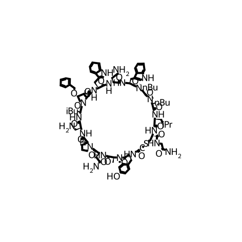 CCCC[C@H]1C(=O)N(C)[C@@H](CCCC)C(=O)N[C@@H](CC(C)C)C(=O)N[C@H](C(=O)NCC(N)=O)CSCC(=O)N[C@@H](Cc2ccc(O)cc2)C(=O)N(C)[C@@H](C)C(=O)N[C@@H](CC(N)=O)C(=O)N2CCC[C@H]2C(=O)N[C@@H](CN)C(=O)N[C@@H](C(C)CC)C(=O)N2C[C@H](OCc3ccccc3)C[C@H]2C(=O)N[C@@H](Cc2c[nH]c3ccccc23)C(=O)N[C@@H](CCN)C(=O)N[C@@H](Cc2c[nH]c3ccccc23)C(=O)N1C